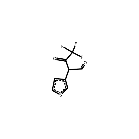 O=CC(C(=O)C(F)(F)F)c1ccsc1